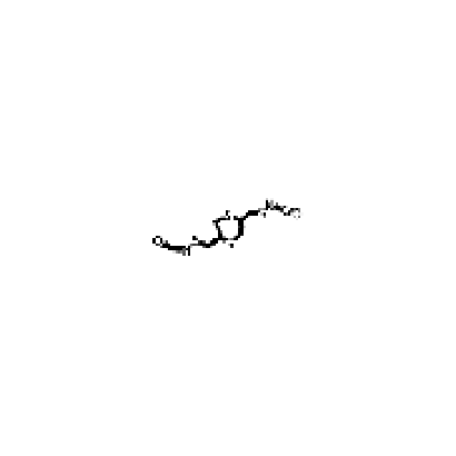 O=C=NSCC1CSC(CSN=C=O)CS1